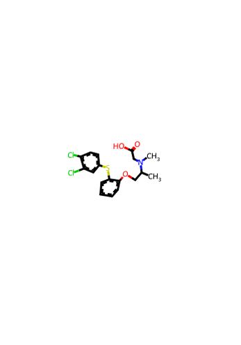 CC(COc1ccccc1Sc1ccc(Cl)c(Cl)c1)N(C)CC(=O)O